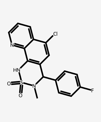 CN1C(c2ccc(F)cc2)c2cc(Cl)c3cccnc3c2NS1(=O)=O